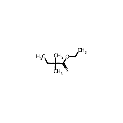 CCOC(=S)C(C)(C)CC